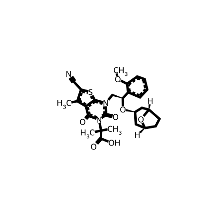 COc1ccccc1[C@H](Cn1c(=O)n(C(C)(C)C(=O)O)c(=O)c2c(C)c(C#N)sc21)O[C@@H]1C[C@H]2CC[C@@H](C1)O2